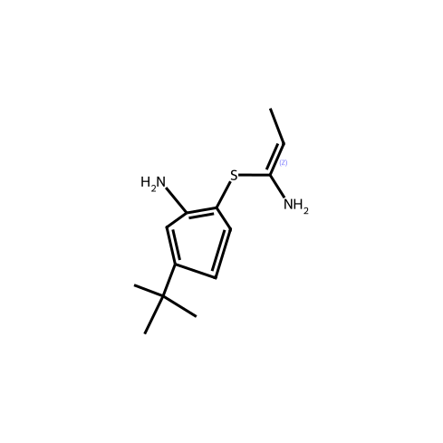 C/C=C(/N)Sc1ccc(C(C)(C)C)cc1N